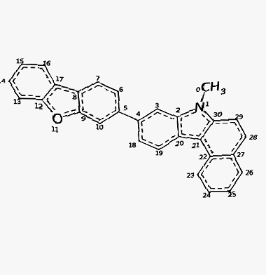 Cn1c2cc(-c3ccc4c(c3)oc3ccccc34)ccc2c2c3ccccc3ccc21